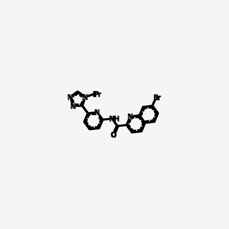 CC(C)n1cnnc1-c1cccc(NC(=O)c2ccc3ccc(Br)cc3n2)n1